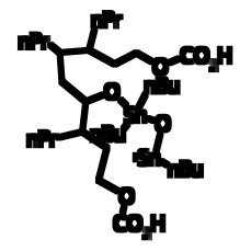 CCC[CH2][Sn][O][Sn]([CH2]CCC)([CH2]CCC)[O]C(CC(CCC)C(CCC)CCOC(=O)O)C(CCC)CCOC(=O)O